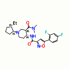 CC[C@H]1CCC[C@@H]1N1CC[C@@H](NC(=O)c2cc(-c3ccc(F)cc3F)on2)[C@H](C(=O)N(C)C)C1